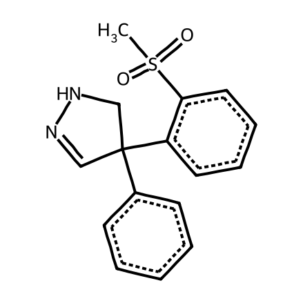 CS(=O)(=O)c1ccccc1C1(c2ccccc2)C=NNC1